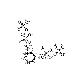 O=P([O-])([O-])[O-].O=P([O-])([O-])[O-].O=P([O-])([O-])[O-].O=P([O-])([O-])[O-].[C+4].[C+4].[C+4].c1cnnnc1